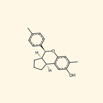 Cc1ccc([C@H]2Oc3cc(C)c(O)cc3[C@H]3CCC[C@H]32)cc1